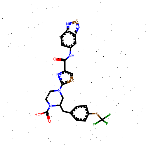 O=C(Nc1ccc2nsnc2c1)c1csc(N2CCN(C(=O)O)C(Cc3ccc(SC(F)(F)F)cc3)C2)n1